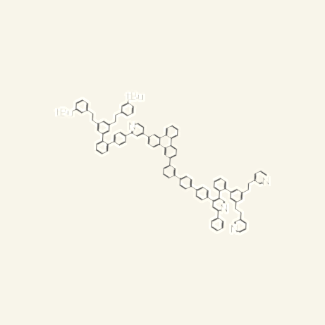 CC(C)(C)c1cccc(CCc2cc(CCc3cccc(C(C)(C)C)c3)cc(-c3ccccc3-c3ccc(-c4cc(-c5ccc6c7cc(-c8cccc(-c9ccc(-c%10ccc(-c%11cc(-c%12ccccc%12)ncc%11-c%11ccccc%11-c%11cc(CCc%12cccnc%12)cc(CCc%12cccnc%12)c%11)cc%10)cc9)c8)ccc7c7ccccc7c6c5)ccn4)cc3)c2)c1